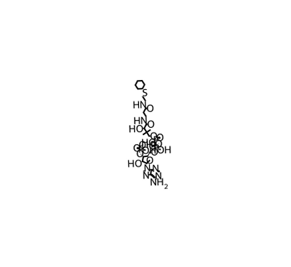 CC(C)(COP(=O)(O)OP(=O)(O)OC[C@H]1O[C@@H](n2cnc3c(N)ncnc32)[C@H](O)[C@@H]1OP(=O)(O)O)C(O)C(=O)NCCC(=O)NCCSC1CCCCC1